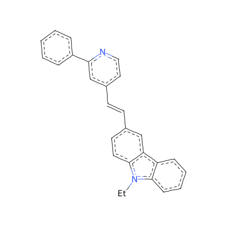 CCn1c2ccccc2c2cc(/C=C/c3ccnc(-c4ccccc4)c3)ccc21